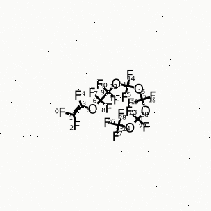 FC(F)=C(F)OC(F)(F)C(F)(F)OC(F)(F)OC(F)(F)OC(F)(F)OC(F)(F)F